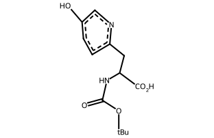 CC(C)(C)OC(=O)NC(Cc1ccc(O)cn1)C(=O)O